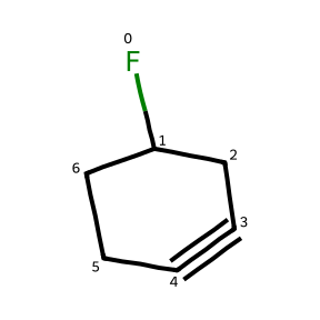 FC1CC#CCC1